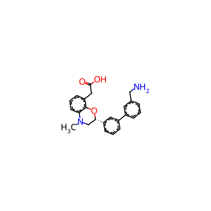 CN1C[C@@H](c2cccc(-c3cccc(CN)c3)c2)Oc2c(CC(=O)O)cccc21